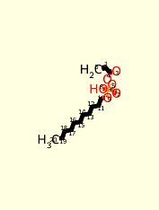 C=CC(=O)OOP(=O)(O)OCCCCCCCCCCC